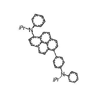 CC(C)N(c1ccccc1)c1ccc(-c2ccc3ccc4c(N(c5ccccc5)C(C)C)ccc5ccc2c3c54)cc1